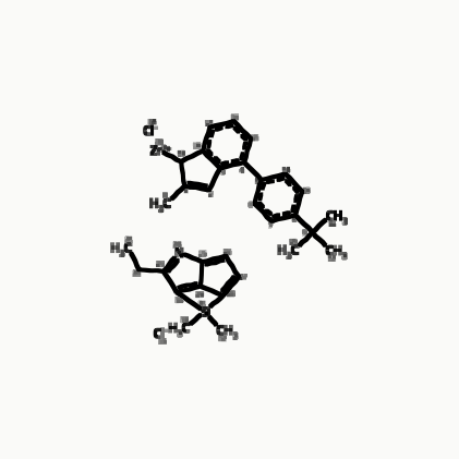 CC1=Cc2c(-c3ccc(C(C)(C)C)cc3)cccc2[CH]1[Zr+2].CCC1=NC2=CC=C3C2=C1[Si]3(C)C.[Cl-].[Cl-]